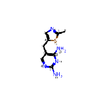 Cc1ncc(Cc2cnc(N)nc2N)s1